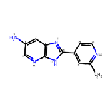 Cc1cc(-c2nc3cc(N)cnc3[nH]2)ccn1